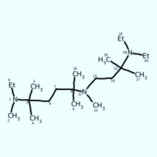 CCN(C)C(C)(C)CCC(C)(C)N(C)CCC(C)(C)N(CC)CC